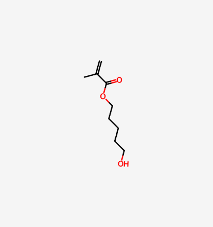 C=C(C)C(=O)OCCCCCO